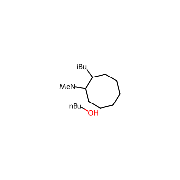 CCC(C)C1CCCCCCC1NC.CCCCO